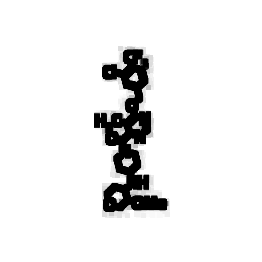 COC1COCCC1NC1CCN(C(=O)c2ncnc(OCc3ccc(C(F)(F)F)c(Cl)c3)c2C)CC1